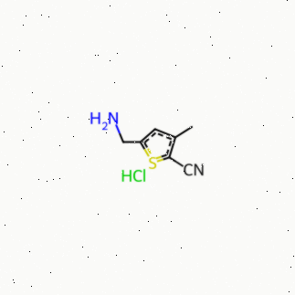 Cc1cc(CN)sc1C#N.Cl